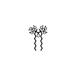 CCCCCCCCC(C)(C(=O)C(C)(CCCCCCCC)[Si](OC)(OC)OC)[Si](OC)(OC)OC